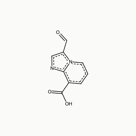 O=Cc1cnc2c(C(=O)O)cccn12